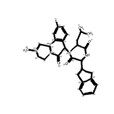 CC(C)CC1C(=O)NC(C2Cc3ccccc3C2)C(=O)N1C(C(=O)N1CCN(C)CC1)c1ccc(F)cc1F